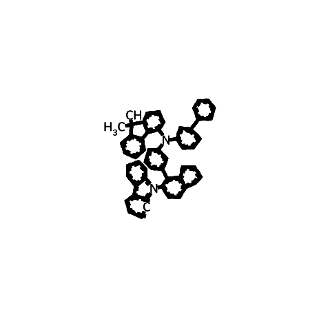 CC1(C)c2ccccc2-c2c(N(c3cccc(-c4ccccc4)c3)c3cccc(-c4c(-n5c6ccccc6c6ccccc65)ccc5ccccc45)c3)cccc21